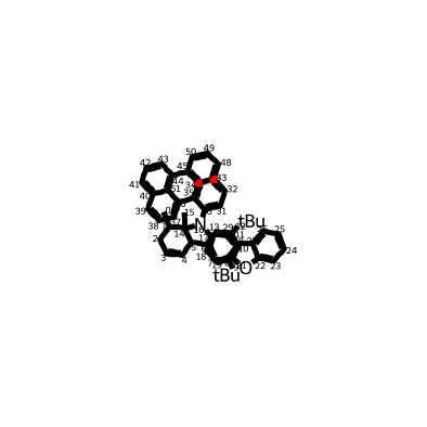 CC1CC=CC(c2cc(C(C)(C)C)cc(C(C)(C)C)c2)C1(C)N(c1ccc2oc3ccccc3c2c1)c1ccccc1-c1cccc2cccc(-c3ccccc3)c12